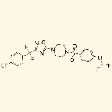 O=S(=O)(c1ccc(OC(F)F)cc1)N1CCN(c2nc(C(F)(F)c3ccc(Cl)cc3)no2)CC1